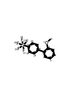 COc1ccccc1-c1ccc(S(F)(F)(F)(F)F)cc1